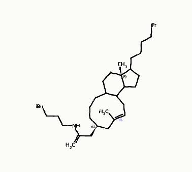 C=C(C[C@H]1CCCC2CC[C@]3(C)C(CCCCC(C)C)CCC3C2C/C=C(\C)C1)NCCCC(C)CC